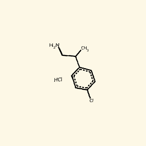 CC(CN)c1ccc(Cl)cc1.Cl